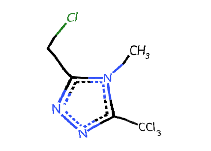 Cn1c(CCl)nnc1C(Cl)(Cl)Cl